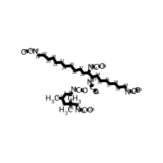 CC(CCN=C=O)CC(C)(C)CN=C=O.O=C=NCCCCCCCCCCCC(N=C=O)C(CCCCCCCN=C=O)N=C=O